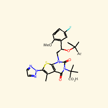 COc1ccc(F)cc1[C@H](Cn1c(=O)n(C(C)(C)C(=O)O)c(=O)c2c(C)c(-n3nccn3)sc21)OC(C)(C)C(C)=O